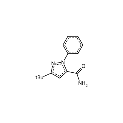 CC(C)(C)c1cc(C(N)=O)n(-c2ccccc2)n1